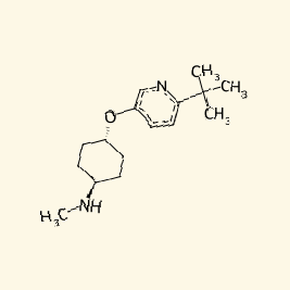 CN[C@H]1CC[C@H](Oc2ccc(C(C)(C)C)nc2)CC1